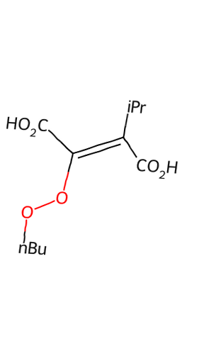 CCCCOO/C(C(=O)O)=C(\C(=O)O)C(C)C